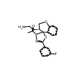 CC(=O)N1N=C(c2cccc(F)c2)S[C@@]12c1ccccc1OC[C@@H]2CCN